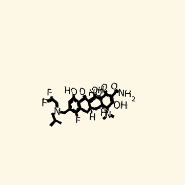 CC(C)CN(Cc1cc(O)c2c(c1F)C[C@H]1C[C@H]3[C@H](N(C)C)C(O)=C(C(N)=O)C(=O)[C@@]3(O)C(O)=C1C2=O)CC(F)F